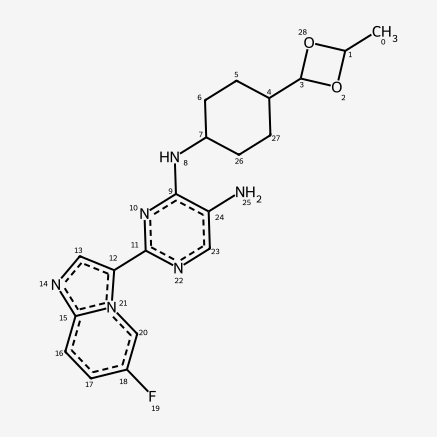 CC1OC(C2CCC(Nc3nc(-c4cnc5ccc(F)cn45)ncc3N)CC2)O1